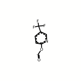 O=[C]Oc1ccc(C(F)(F)F)cn1